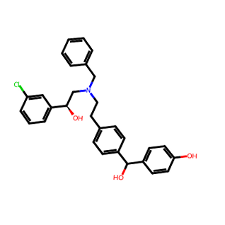 Oc1ccc(C(O)c2ccc(CCN(Cc3ccccc3)C[C@@H](O)c3cccc(Cl)c3)cc2)cc1